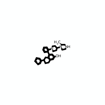 C[C@H]1CNCCN1C1CCN(c2ccccc2-c2cc(O)cc3c2CC(c2ccccc2)CC3)CC1